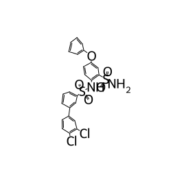 NS(=O)(=O)c1cc(Oc2ccccc2)ccc1NS(=O)(=O)c1cccc(-c2ccc(Cl)c(Cl)c2)c1